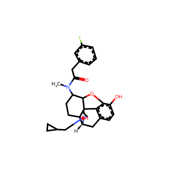 CN(C(=O)Cc1cccc(F)c1)C1CC[C@@]2(O)[C@H]3Cc4ccc(O)c5c4[C@@]2(CCN3CC2CC2)C1O5